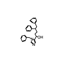 OC(CCC(Cc1ccccc1)c1ccccc1)c1cncn1Cc1ccccc1